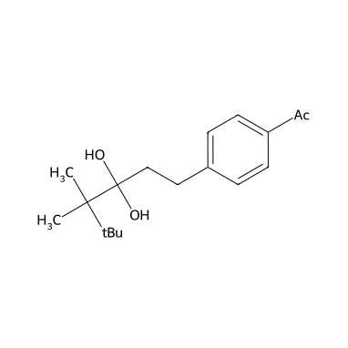 CC(=O)c1ccc(CCC(O)(O)C(C)(C)C(C)(C)C)cc1